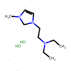 CCN(CC)CCN1C=CN(C)C1.Cl.Cl